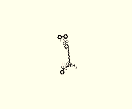 C[N+](C)(CCCCCCCCCN1CCC(OC(=O)Nc2ccccc2-c2ccccc2)CC1)CCOC(=O)c1ccccc1